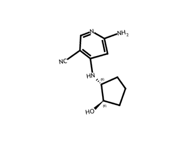 N#Cc1cnc(N)cc1N[C@@H]1CCC[C@H]1O